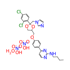 CCCCNc1nccc(-c2ccc(OCC3COC(Cn4ccnc4)(c4ccc(Cl)cc4Cl)O3)cc2)n1.O.O=[N+]([O-])O.O=[N+]([O-])O